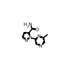 Cc1cncc(-n2nccc2C(N)=O)n1